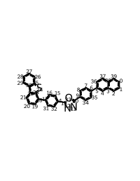 c1ccc2cc(-c3ccc(-c4nnc(-c5ccc(-c6cccc7c6sc6ccccc67)cc5)o4)cc3)ccc2c1